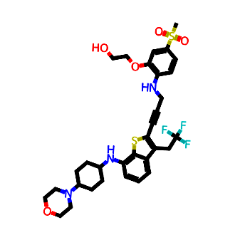 CS(=O)(=O)c1ccc(NCC#Cc2sc3c(NC4CCC(N5CCOCC5)CC4)cccc3c2CC(F)(F)F)c(OCCO)c1